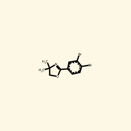 CC1(C)COC(c2ccc(Br)c(Br)c2)=N1